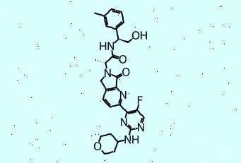 Cc1cccc([C@@H](CO)NC(=O)[C@@H](C)N2Cc3ccc(-c4nc(NC5CCOCC5)ncc4F)nc3C2=O)c1